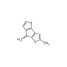 C=C1c2ccsc2-c2cc(C)sc21